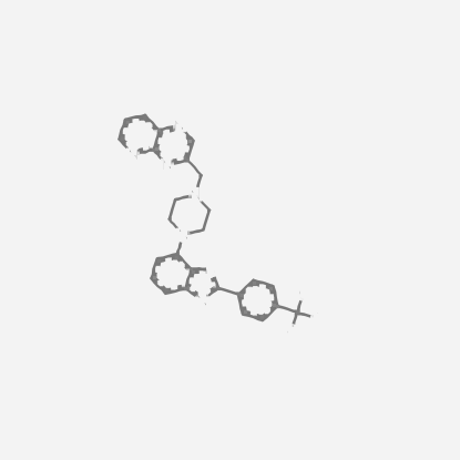 CC(C)(C)c1ccc(-c2nc3cccc(N4CCN(Cc5cnc6cccnc6n5)CC4)c3s2)cc1